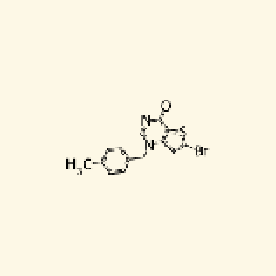 Cc1ccc(Cn2cnc(=O)c3sc(Br)cc32)cc1